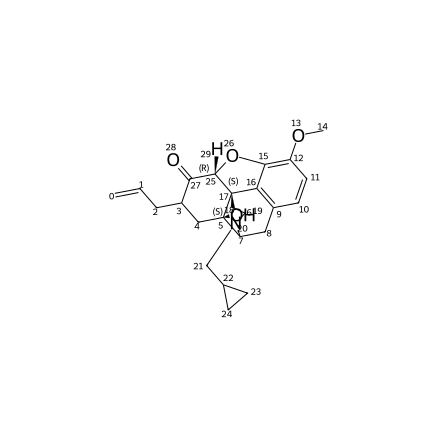 C=CCC1C[C@@]2(O)C3Cc4ccc(OC)c5c4[C@@]2(CCN3CC2CC2)[C@@H](O5)C1=O